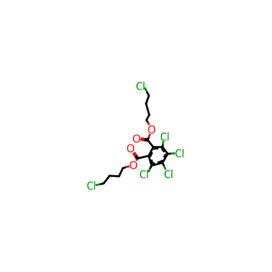 O=C(OCCCCCl)c1c(Cl)c(Cl)c(Cl)c(Cl)c1C(=O)OCCCCCl